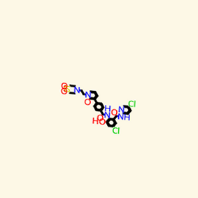 O=C(Nc1c(O)cc(Cl)cc1C(=O)Nc1ccc(Cl)cn1)c1ccc(-c2cccn(CCN3CCS(=O)(=O)CC3)c2=O)cc1